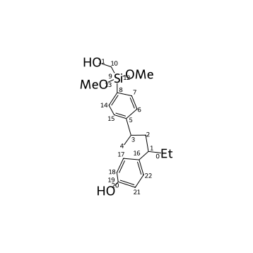 CCC(CC(C)c1ccc([Si](CO)(OC)OC)cc1)c1ccc(O)cc1